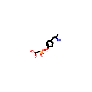 CC(N)Cc1ccc(OOP(=O)(O)CC(=O)O)cc1